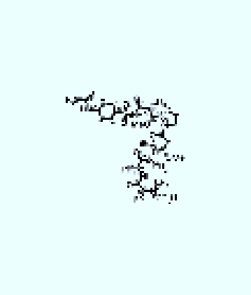 CC[C@H](C)[C@@H]([C@H](CC(=O)N1CCC[C@H]1[C@H](OC)[C@@H](C)C(=O)NS(=O)(=O)c1ccc(NC(=O)C(F)(F)F)cc1)OC)N(C)C(=O)[C@@H](NC(=O)[C@H](C(C)C)N(C)C(=O)O)C(C)C